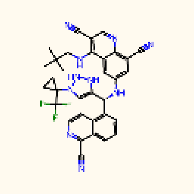 CC(C)(C)CNc1c(C#N)cnc2c(C#N)cc(N[C@H](C3=CN(C4(C(F)(F)F)CC4)NN3)c3cccc4c(C#N)nccc34)cc12